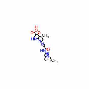 CCCn1nc(NC(=O)C2CN(c3cc(C)c4c(=O)c(C(=O)O)c[nH]c4n3)C2)cc1C